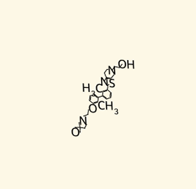 Cc1c(OCCCN2CCC3(COC3)C2)cccc1-c1cccc(-c2nc3c(s2)CN(CCO)CC3)c1C